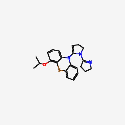 CC(C)Oc1cccc2c1Sc1ccccc1N2C1=CCCN1C1=NCCC1